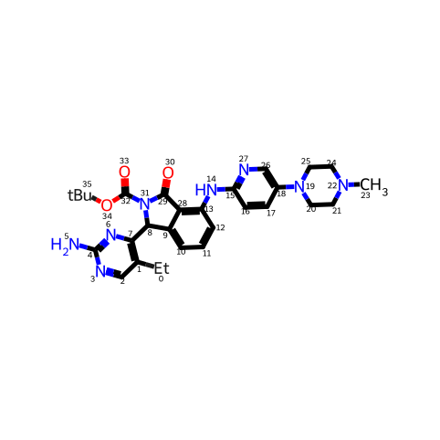 CCc1cnc(N)nc1C1c2cccc(Nc3ccc(N4CCN(C)CC4)cn3)c2C(=O)N1C(=O)OC(C)(C)C